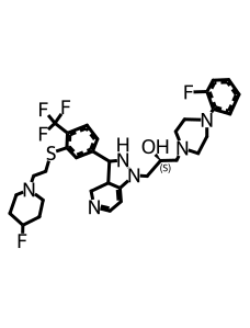 O[C@@H](CN1CCN(c2ccccc2F)CC1)CN1NC(c2ccc(C(F)(F)F)c(SCCN3CCC(F)CC3)c2)C2CN=CC=C21